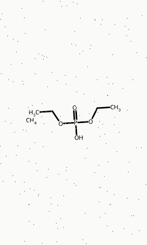 C.CCOP(=O)(O)OCC